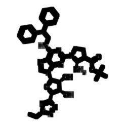 CCn1nnc([C@H]2O[C@@H](n3cnc4c(NCC(c5ccccc5)c5ccccc5)nc(N5CCC(C(=O)OC(C)(C)C)[C@@H]5N)nc43)[C@H](O)[C@@H]2O)n1